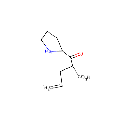 C=CCC(C(=O)O)C(=O)C1CCCN1